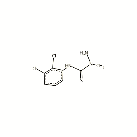 CN(N)C(=S)Nc1cccc(Cl)c1Cl